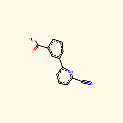 CC(=O)c1cccc(-c2cccc(C#N)n2)c1